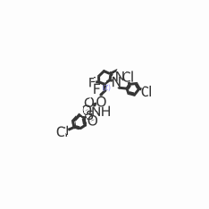 O=C(NS(=O)(=O)c1ccc(Cl)cc1)OC/C=C1/c2c(cnn2Cc2ccc(Cl)cc2Cl)CCC1(F)F